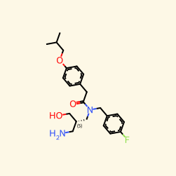 CC(C)COc1ccc(CC(=O)N(Cc2ccc(F)cc2)C[C@H](CN)CO)cc1